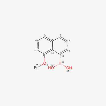 CCOc1cccc2cccc(B(O)O)c12